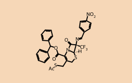 CC(=O)SCC1=C(C(=O)OC(c2ccccc2)c2ccccc2)N2C(=O)[C@@](N=Cc3ccc([N+](=O)[O-])cc3)(C(F)(F)F)[C@H]2SC1